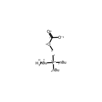 CCCC[P+](C)(CCCC)CCCC.COC(=O)[O-].P